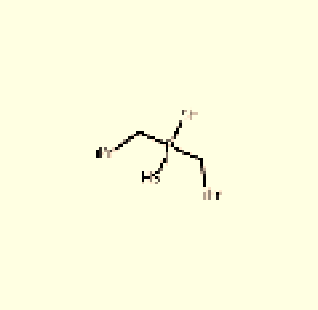 CC(C)C[PH](S)(S)CC(C)C